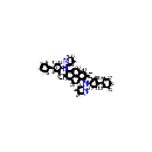 N#Cc1cc(-c2ccccc2)ccc1N(c1ccccn1)c1ccc2ccc3c(N(c4ccc(-c5ccccc5)cc4C#N)[C@@H]4CC=CC=N4)ccc4ccc1c2c43